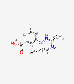 Cc1ncc(C)c(-c2cccc(C(=O)O)c2)n1